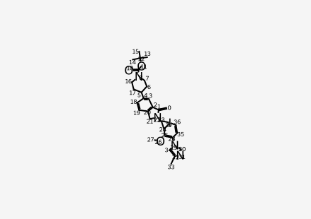 C=C1c2cc(C3CCN(C(=O)OC(C)(C)C)CC3)ccc2CN1C1C2C(OC)=C(n3cnc(C)c3)C=CI21